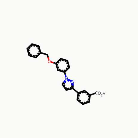 O=C(O)c1cccc(-c2ccn(-c3cccc(OCc4ccccc4)c3)n2)c1